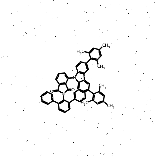 Cc1cc(C)c(-c2ccc3c(c2)c2cc(-c4c(C)cc(C)cc4C)ccc2n3-c2cccc3c2C(=O)N(c2c(-c4ccccc4)cccc2-c2ccccc2)C3=O)c(C)c1